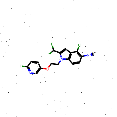 [C-]#[N+]c1ccc2c(cc(C(F)F)n2CCOc2ccc(F)nc2)c1Cl